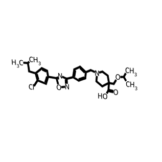 CC(C)Cc1ccc(-c2nc(-c3ccc(CN4CCC(COC(C)C)(C(=O)O)CC4)cc3)no2)cc1Cl